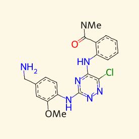 CNC(=O)c1ccccc1Nc1nc(Nc2ccc(CN)cc2OC)nnc1Cl